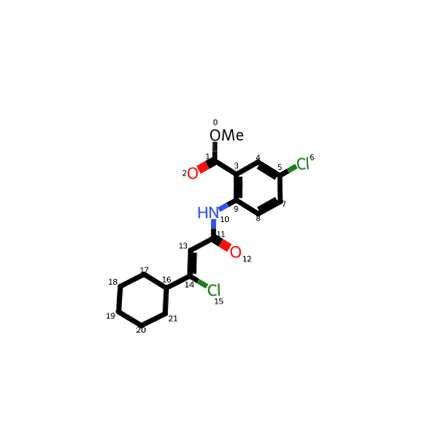 COC(=O)c1cc(Cl)ccc1NC(=O)C=C(Cl)C1CCCCC1